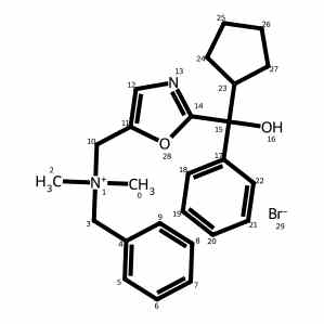 C[N+](C)(Cc1ccccc1)Cc1cnc(C(O)(c2ccccc2)C2CCCC2)o1.[Br-]